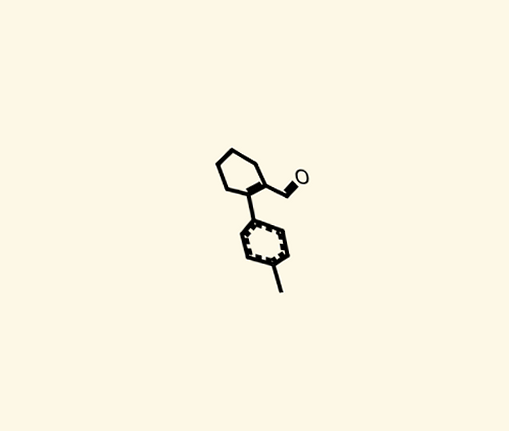 Cc1ccc(C2=C(C=O)CCCC2)cc1